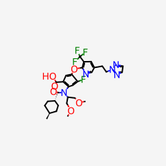 COCC(COC)N(c1cc(F)c(Oc2ncc(CCn3nccn3)cc2C(F)(F)F)cc1C(=O)O)C(=O)[C@H]1CC[C@H](C)CC1